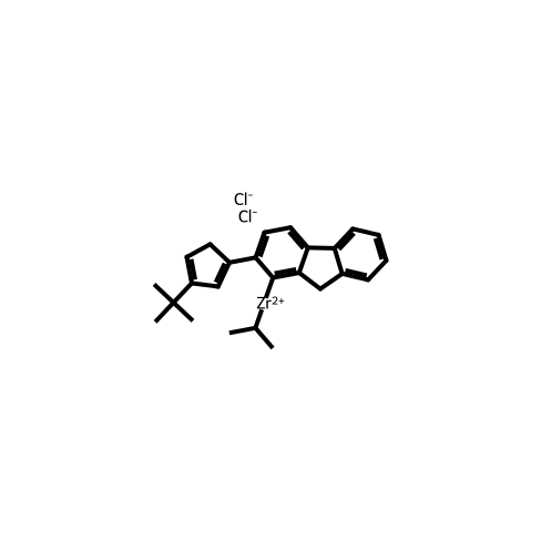 C[CH](C)[Zr+2][c]1c(C2=CC(C(C)(C)C)=CC2)ccc2c1Cc1ccccc1-2.[Cl-].[Cl-]